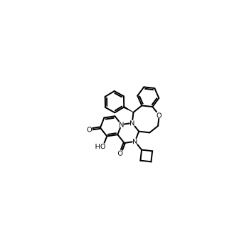 O=C1c2c(O)c(=O)ccn2N2C(CCOc3ccccc3[C@@H]2c2ccccc2)N1C1CCC1